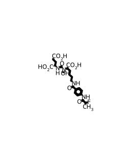 CC(F)C(=O)Nc1ccc(C(=O)NCCCCC(C(=O)O)N(O)C(=O)N[C@@H](CCC(=O)O)C(=O)O)cc1